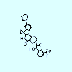 O=C([C@H](O)c1cccc(C(F)(F)F)c1)N1CCc2nc(C3(c4cccc(-c5cccnc5)c4)CC3)[nH]c(=O)c2C1